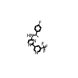 C[C@@H](Nc1ccnc(-c2cncc(C(F)(F)F)c2)n1)c1ccc(F)cc1